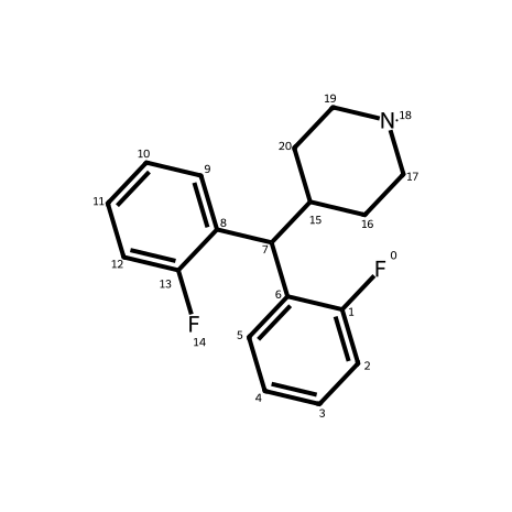 Fc1ccccc1C(c1ccccc1F)C1CC[N]CC1